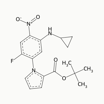 CC(C)(C)OC(=O)c1cccn1-c1cc(NC2CC2)c([N+](=O)[O-])cc1F